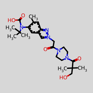 Cc1cc2nn(CC(=O)N3CCN(C(=O)C(C)(C)CO)CC3)cc2cc1N(C(=O)O)C(C)(C)C